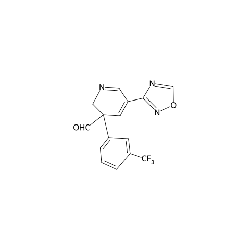 O=CC1(c2cccc(C(F)(F)F)c2)C=C(c2ncon2)C=NC1